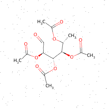 CC(=O)O[C@@H]([C@H](OC(C)=O)[C@@H](C)OC(C)=O)[C@H](C=O)OC(C)=O